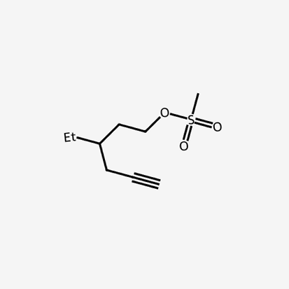 C#CCC(CC)CCOS(C)(=O)=O